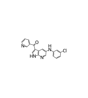 O=C(c1cccnc1)c1c[nH]c2ncc(Nc3cccc(Cl)c3)cc12